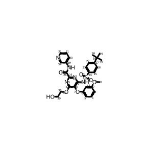 COc1cccc(Oc2c(NS(=O)(=O)c3ccc(C(C)(C)C)cc3)nc(C(=O)Nc3cccnc3)nc2OCCO)c1